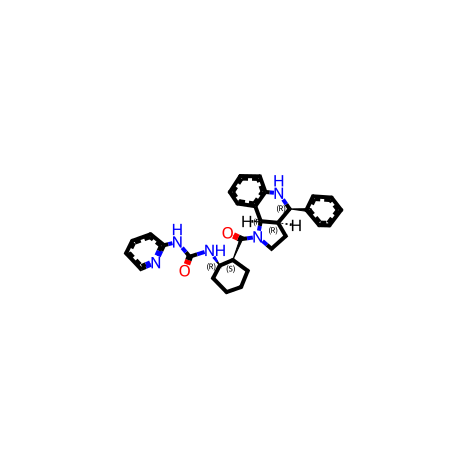 O=C(Nc1ccccn1)N[C@@H]1CCCC[C@@H]1C(=O)N1CC[C@@H]2[C@H](c3ccccc3)Nc3ccccc3[C@@H]21